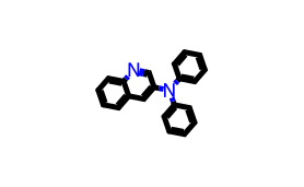 c1ccc(N(c2ccccc2)c2cnc3ccccc3c2)cc1